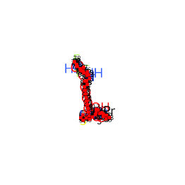 Cc1ccsc1-c1ccc(CNC(=O)[C@@H]2C[C@@H](O)CN2C(=O)[C@H](C(C)C)N2Cc3ccccc3C2=O)c(OCCOCCOCCOCCOCCOc2ccc(-c3cnc4[nH]cc(C(=O)c5c(F)ccc(NS(=O)(=O)N6CC[C@@H](F)C6)c5F)c4c3)cc2)c1